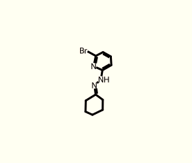 Brc1cccc(NN=C2CCCCC2)n1